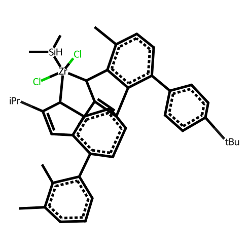 CC1=Cc2c(-c3ccc(C(C)(C)C)cc3)ccc(C)c2[CH]1[Zr]([Cl])([Cl])([CH]1C(C(C)C)=Cc2c(-c3cccc(C)c3C)cccc21)[SiH](C)C